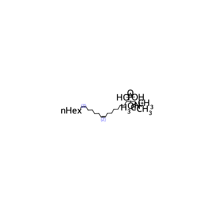 CCCCCC/C=C\CCCC/C=C\CCCCCCCC(O)(C[N+](C)(C)C)P(=O)(O)O